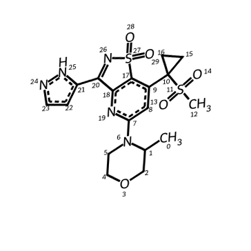 CC1COCCN1c1cc(C2(S(C)(=O)=O)CC2)c2c(n1)C(c1ccn[nH]1)=NS2(=O)=O